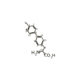 Cc1ccc(-c2ccc(C[C@H](N)C(=O)O)cc2)cn1